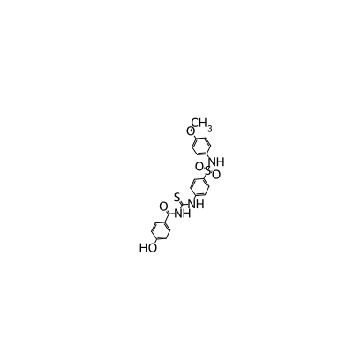 COc1ccc(NS(=O)(=O)c2ccc(NC(=S)NC(=O)c3ccc(O)cc3)cc2)cc1